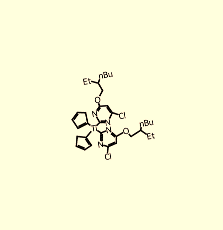 CCCCC(CC)COc1cc(Cl)n[c]([Ti]([C]2=CC=CC2)([C]2=CC=CC2)[c]2nc(Cl)cc(OCC(CC)CCCC)n2)n1